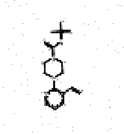 C=Cc1cncnc1N1CCN(C(=O)OC(C)(C)C)CC1